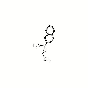 CCOC(N)c1ccc2ccccc2c1